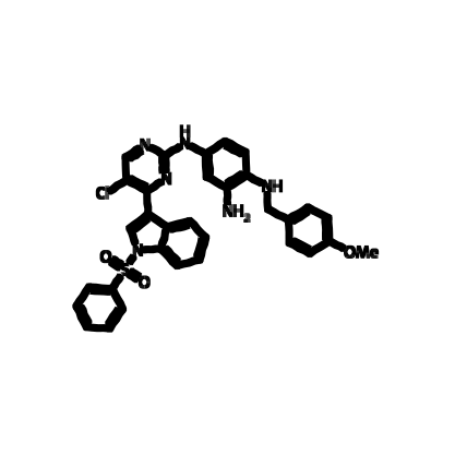 COc1ccc(CNc2ccc(Nc3ncc(Cl)c(-c4cn(S(=O)(=O)c5ccccc5)c5ccccc45)n3)cc2N)cc1